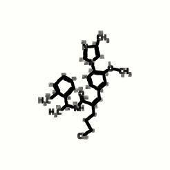 COc1cc(C=C(CCCCl)C(=O)NC(C)c2ccccc2C)ccc1-n1cnc(C)c1